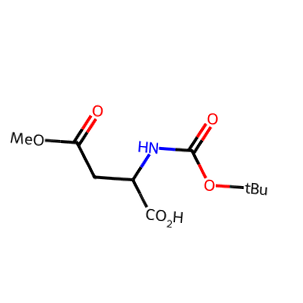 COC(=O)CC(NC(=O)OC(C)(C)C)C(=O)O